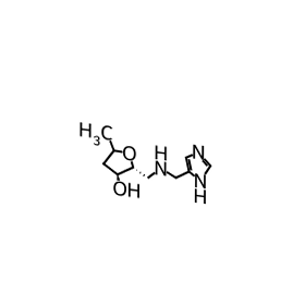 CC1C[C@H](O)[C@@H](CNCc2cnc[nH]2)O1